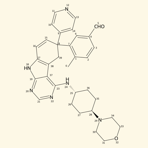 Cc1ccc(C=O)cc1C1(c2ccncc2)C=Cc2[nH]c3ncnc(N[C@H]4CC[C@H](N5CCOCC5)CC4)c3c2C1